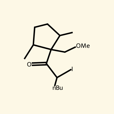 CCCCC(I)C(=O)C1(COC)C(C)CCC1C